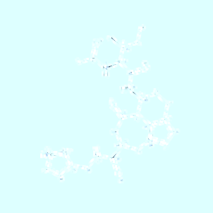 CC[C@H](C)[C@H](NC(C)=O)C(=O)N[C@H]1CCc2ccn3c2C1C(=O)C[C@H](C(=O)NCc1cc[nH]n1)C3